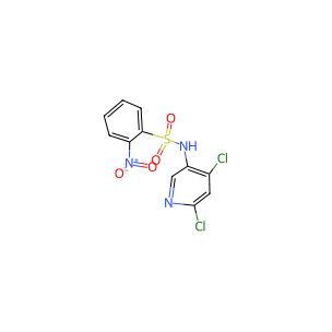 O=[N+]([O-])c1ccccc1S(=O)(=O)Nc1cnc(Cl)cc1Cl